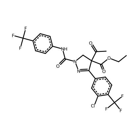 CCOC(=O)C1(C(C)=O)CN(C(=O)Nc2ccc(C(F)(F)F)cc2)N=C1c1ccc(C(F)(F)F)c(Cl)c1